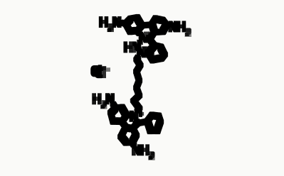 Nc1ccc2c(c1)c(-c1ccccc1)[n+](CCCCCCCCNN[n+]1c(-c3ccccc3)c3cc(N)ccc3c3ccc(N)cc31)c1cc(N)ccc21.[Cl-].[Cl-]